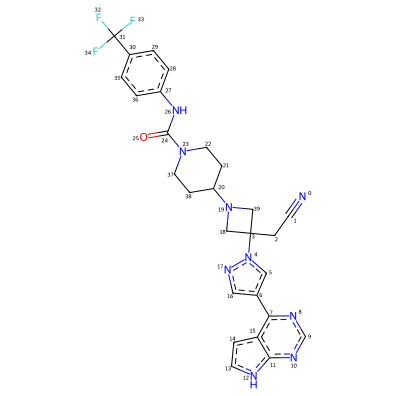 N#CCC1(n2cc(-c3ncnc4[nH]ccc34)cn2)CN(C2CCN(C(=O)Nc3ccc(C(F)(F)F)cc3)CC2)C1